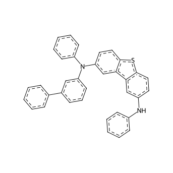 c1ccc(Nc2ccc3sc4ccc(N(c5ccccc5)c5cccc(-c6ccccc6)c5)cc4c3c2)cc1